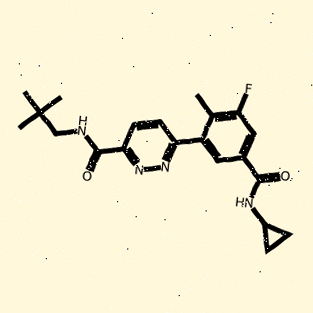 Cc1c(F)cc(C(=O)NC2CC2)cc1-c1ccc(C(=O)NCC(C)(C)C)nn1